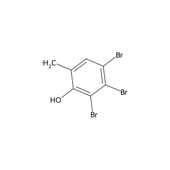 [CH2]c1cc(Br)c(Br)c(Br)c1O